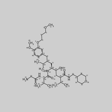 COCCCOc1cc(CC(C[C@H](NC(=O)[C@@H](NC(=O)CN)C(C)C)C(O)CC(C(=O)NCC2CCOCC2)C(C)C)C(C)C)ccc1OC